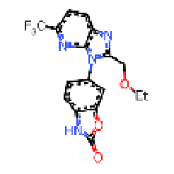 CCOCc1nc2ccc(C(F)(F)F)nc2n1-c1ccc2[nH]c(=O)oc2c1